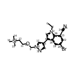 CCn1cc(-c2cnn(COCC[Si](C)(C)C)c2)c2cc(Br)cc(C#N)c21